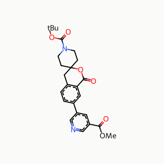 COC(=O)c1cncc(-c2ccc3c(c2)C(=O)OC2(CCN(C(=O)OC(C)(C)C)CC2)C3)c1